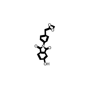 O=C1c2ccc(O)cc2C(=O)N1c1ccc(C=C2OCO2)cc1